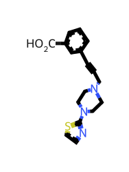 O=C(O)c1cccc(C#CCN2CCN(c3nccs3)CC2)c1